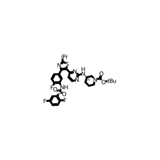 CC(C)c1nc(-c2ccc(F)c(NS(=O)(=O)c3cc(F)ccc3F)c2)c(-c2ccnc(N[C@H]3CCCN(C(=O)OC(C)(C)C)C3)n2)s1